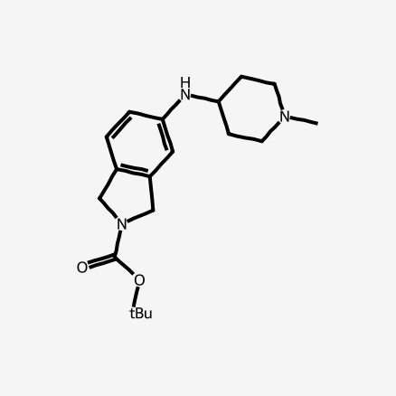 CN1CCC(Nc2ccc3c(c2)CN(C(=O)OC(C)(C)C)C3)CC1